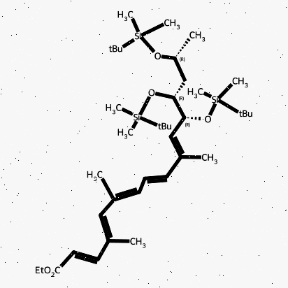 CCOC(=O)C=CC(C)=CC(C)=CC=CC(C)=C[C@@H](O[Si](C)(C)C(C)(C)C)[C@@H](C[C@@H](C)O[Si](C)(C)C(C)(C)C)O[Si](C)(C)C(C)(C)C